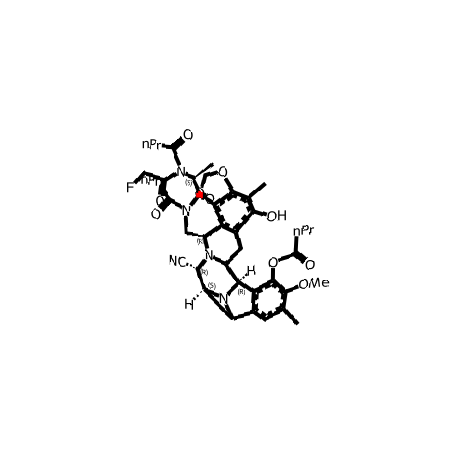 CCCC(=O)Oc1c(OC)c(C)cc2c1[C@@H]1C3Cc4c(O)c(C)c5c(c4[C@H](CN(C(=O)CCC)C(=O)[C@H](C)N(C(=O)CF)C(=O)CCC)N3[C@@H](C#N)[C@@H]3C2N13)OCO5